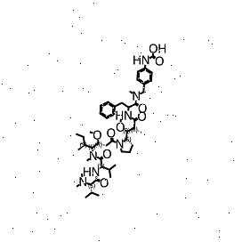 CC[C@H](C)[C@@H]([C@@H](CC(=O)N1CCC[C@H]1[C@H](OC)[C@@H](C)C(=O)NC(Cc1ccccc1)C(=O)N(C)Cc1ccc(NC(=O)O)cc1)OC)N(C)C(=O)[C@@H](NC(=O)[C@H](C(C)C)N(C)C)C(C)C